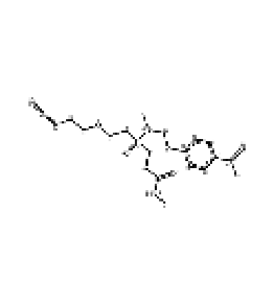 CNC(=O)CCP(=O)(CCOCCN=[N+]=[N-])N(C)CCc1ccc(C(C)=O)cc1